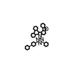 c1ccc(-c2ccc(-c3nc(-c4ccccc4)nc(-n4c5ccc6oc7ccccc7c6c5c5c6ccccc6c6ccccc6c54)n3)cc2)cc1